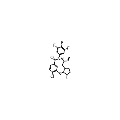 C=CC(C)CC1CCC(C)C1Sc1cc(C(=O)Nc2cc(F)c(F)c(F)c2)ccc1Cl